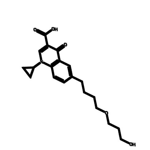 O=C(O)c1cn(C2CC2)c2ccc(CCCCOCCCO)cc2c1=O